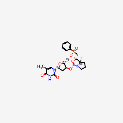 CC[C@H]1O[C@@H](n2cc(C)c(=O)[nH]c2=O)CC1O[P@@]1O[C@H](CS(=O)(=O)c2ccccc2)[C@@H]2CCCN21